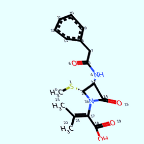 CS[C@@H]1[C@H](NC(=O)Cc2ccccc2)C(=O)N1C(C(=O)O)=C(C)C